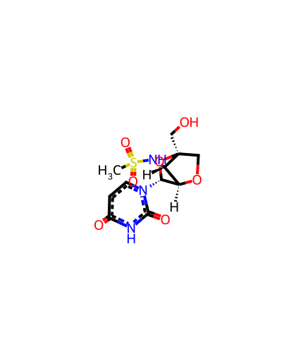 CS(=O)(=O)N[C@H]1[C@H]2OC[C@]1(CO)O[C@H]2n1ccc(=O)[nH]c1=O